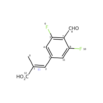 C/C(=C\c1cc(F)c(C=O)c(F)c1)C(=O)O